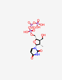 C[C@H]1[C@H](CO)[C@@H](COP(=O)(O)OP(=O)(O)OP(=O)(O)O)O[C@H]1n1ccc(=O)[nH]c1=O